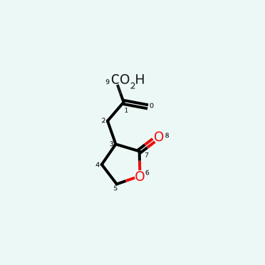 C=C(CC1CCOC1=O)C(=O)O